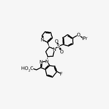 CC(C)Oc1ccc(S(=O)(=O)N2C[C@H](n3nc(CC(=O)O)c4ccc(F)cc43)C[C@H]2c2ccccn2)cc1